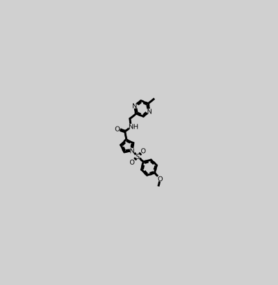 COc1ccc(S(=O)(=O)n2ccc(C(=O)NCc3cnc(C)cn3)c2)cc1